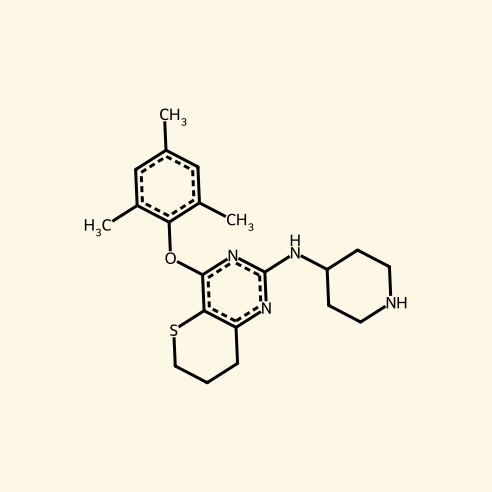 Cc1cc(C)c(Oc2nc(NC3CCNCC3)nc3c2SCCC3)c(C)c1